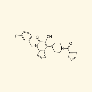 N#Cc1c(N2CCN(C(=O)c3cccs3)CC2)c2sccc2n(Cc2cccc(F)c2)c1=O